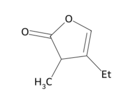 CCC1=COC(=O)C1C